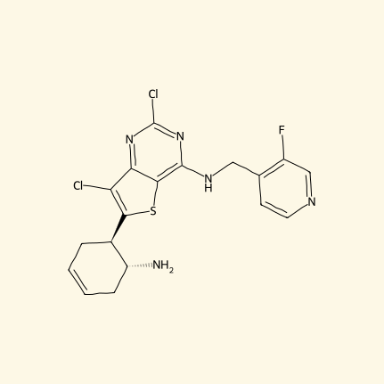 N[C@@H]1CC=CC[C@H]1c1sc2c(NCc3ccncc3F)nc(Cl)nc2c1Cl